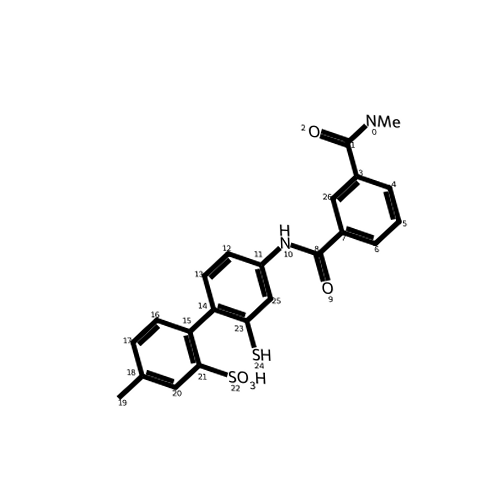 CNC(=O)c1cccc(C(=O)Nc2ccc(-c3ccc(C)cc3S(=O)(=O)O)c(S)c2)c1